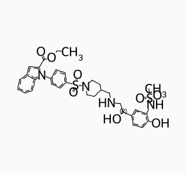 CCOC(=O)c1cc2ccccc2n1-c1ccc(S(=O)(=O)N2CCC(CNC[C@H](O)c3ccc(O)c(NS(C)(=O)=O)c3)CC2)cc1